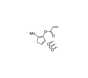 C=CC(=O)OC1=[C]([Mn])CC=C1.[C]=O.[C]=O.[C]=O